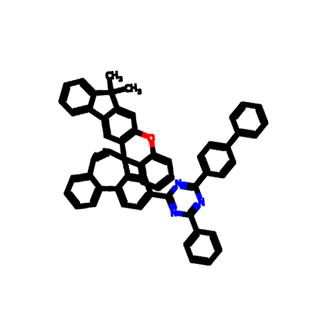 CC1(C)c2ccccc2-c2cc3c(cc21)Oc1ccccc1C31c2ccccc2-c2ccccc2-c2ccc(-c3nc(-c4ccccc4)nc(-c4ccc(-c5ccccc5)cc4)n3)cc21